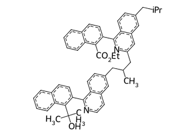 CCOC(=O)c1c(-c2nc(CC(C)Cc3ccc4c(-c5ccc6ccccc6c5C(C)(C)O)nccc4c3)cc3cc(CC(C)C)ccc23)ccc2ccccc12